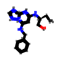 CC[C@H](CO)Nc1cc(NCc2ccccc2)n2ncnc2n1